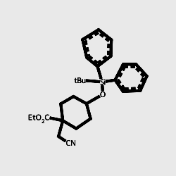 CCOC(=O)C1(CC#N)CCC(O[Si](c2ccccc2)(c2ccccc2)C(C)(C)C)CC1